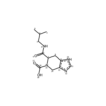 CC(C)CNC(=O)C1Cc2[nH]cnc2CN1C(=O)O